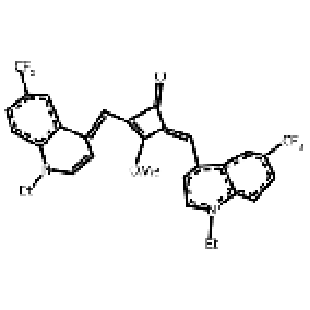 CCN1C=C/C(=C\C2=C(OC)C(=C\c3cc[n+](CC)c4ccc(C(F)(F)F)cc34)/C2=O)c2cc(C(F)(F)F)ccc21